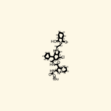 CC(NC(=O)c1c(NC(=O)OC(C)(C)C)nn2cccnc12)c1cc(Cl)c2cn(CCN3C(=O)c4ccccc4C3O)nc2c1-c1ccccc1